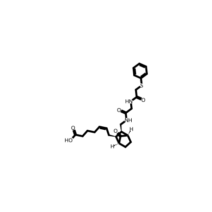 O=C(O)CCC/C=C\C[C@H]1[C@@H](CNC(=O)CNC(=O)CSc2ccccc2)[C@H]2CC[C@@H]1C2=O